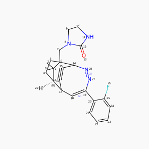 CC1(C)[C@@H]2CCC1(CN1CCNC1=O)C1C#CC2/C=C(c2ccccc2F)\N=N/1